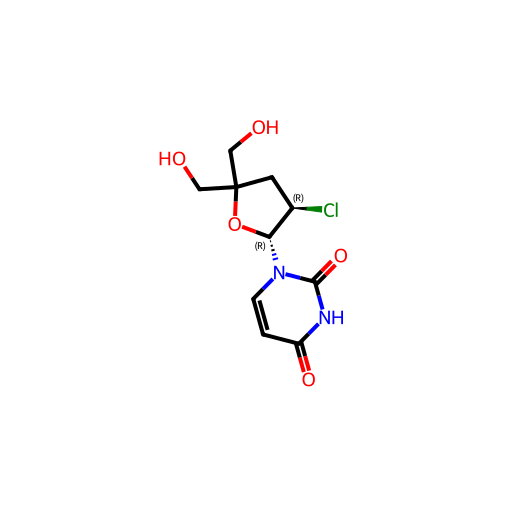 O=c1ccn([C@@H]2OC(CO)(CO)C[C@H]2Cl)c(=O)[nH]1